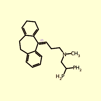 CN(CC/C=C1/C2=CCCC=C2CCc2ccccc21)CC(P)P